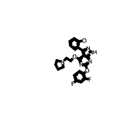 Fc1ccc(Oc2nc(OCCN3CCCC3)c3c(-c4ccccc4Cl)n[nH]c3n2)c(F)c1